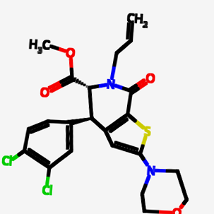 C=CCN1C(=O)c2sc(N3CCOCC3)cc2[C@@H](c2ccc(Cl)c(Cl)c2)[C@@H]1C(=O)OC